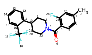 Cc1ccc(C(=O)N2CCC(c3ccccc3C(F)(F)F)CC2)c(F)c1